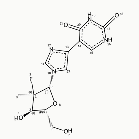 C[C@@]1(F)[C@H](O)[C@@H](CO)O[C@H]1n1cnc(-c2c[nH]c(=O)[nH]c2=O)c1